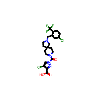 O=C(O)c1nn(C(=O)N2CCC3(CCN(Cc4cc(Cl)ccc4C(F)(F)F)C3)CC2)cc1Cl